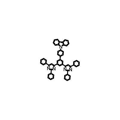 c1ccc(-c2cc(-c3cc(-c4ccc(-n5c6ccccc6c6ccccc65)cc4)cc(-c4cc(-c5ccccc5)nc(-c5ccccc5)n4)c3)nc(-c3ccccc3)n2)cc1